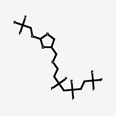 FC(F)(F)CCC(F)(F)CC(F)(F)CCOCC1COC(OCC(F)(F)F)O1